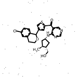 C[C@H]1C[C@H](Nc2ncncc2C(=O)c2cc(C3OCCc4cc(Cl)ccc43)cs2)C[C@@H]1CO